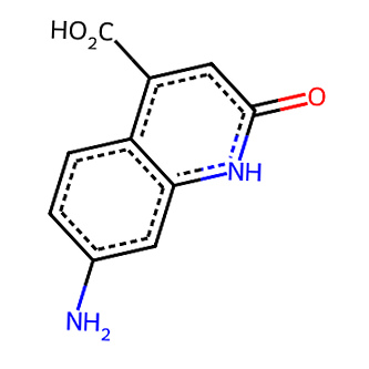 Nc1ccc2c(C(=O)O)cc(=O)[nH]c2c1